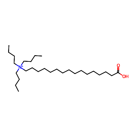 CCCC[N+](CCCC)(CCCC)CCCCCCCCCCCCCCCC(=O)O